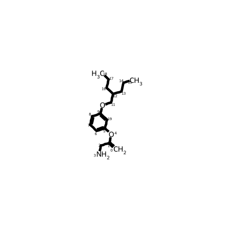 C=C(CN)Oc1cccc(OCC(CCC)CCC)c1